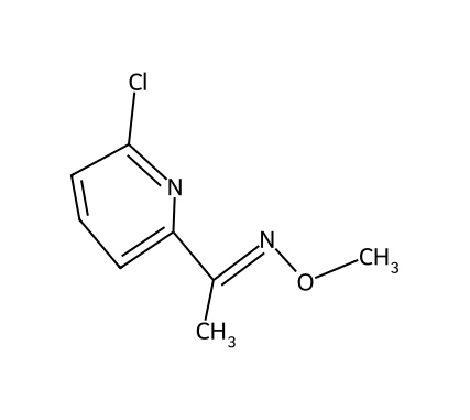 CON=C(C)c1cccc(Cl)n1